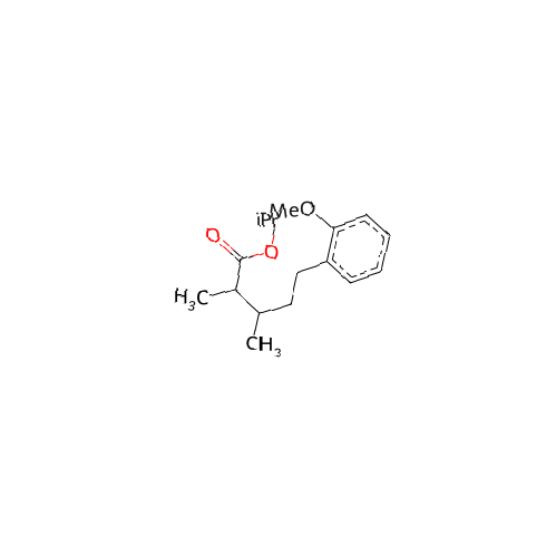 COc1ccccc1CCC(C)C(C)C(=O)OC(C)C